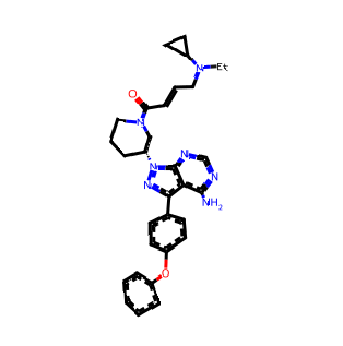 CCN(CC=CC(=O)N1CCC[C@@H](n2nc(-c3ccc(Oc4ccccc4)cc3)c3c(N)ncnc32)C1)C1CC1